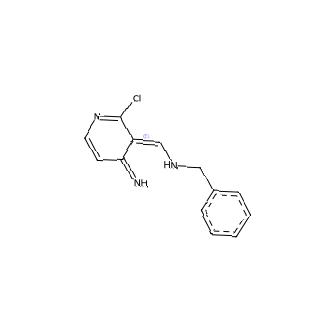 N=C1C=CN=C(Cl)/C1=C/NCc1ccccc1